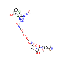 COc1cc(-c2scnc2C)ccc1[C@H](C)NC(=O)[C@@H]1C[C@@H](O)CN1C(=O)[C@@H](c1cc(OCCOCCOCCOCCN(C)C(=O)CCNc2nc(N3CCN(C(C)=O)CC3)c3cc(Cl)c(-c4cc(O)cc5ccccc45)c(F)c3n2)no1)C(C)C